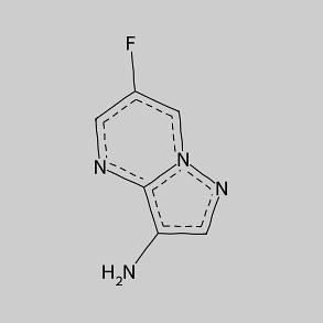 Nc1cnn2cc(F)cnc12